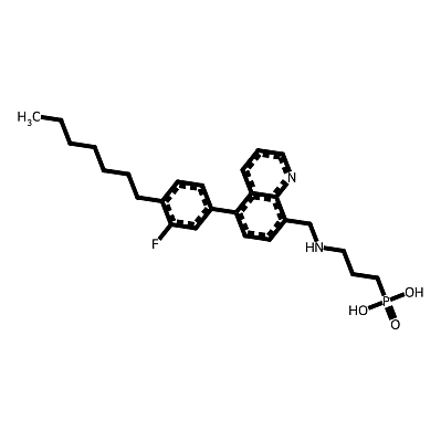 CCCCCCCc1ccc(-c2ccc(CNCCCP(=O)(O)O)c3ncccc23)cc1F